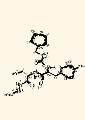 CCCCNNC(=O)[C@H](CC(C)C)NC(=O)[C@H](Cc1ccc(F)cc1)NC(=O)OCc1ccccc1